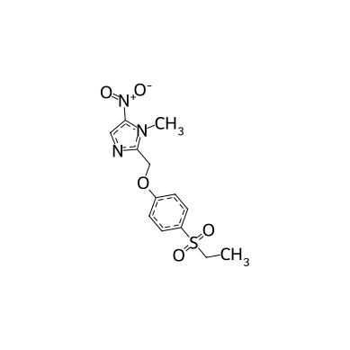 CCS(=O)(=O)c1ccc(OCc2ncc([N+](=O)[O-])n2C)cc1